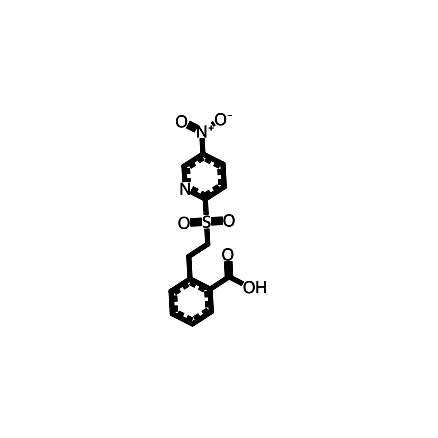 O=C(O)c1ccccc1CCS(=O)(=O)c1ccc([N+](=O)[O-])cn1